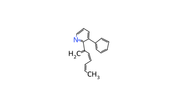 C=C(/C=C\C=C/C)c1ncccc1-c1ccccc1